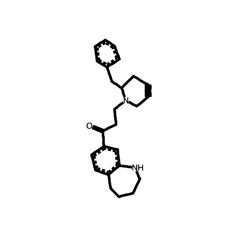 O=C(CCN1CC#CCC1Cc1ccccc1)c1ccc2c(c1)NCCCC2